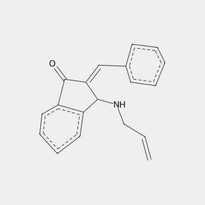 C=CCNC1C(=Cc2ccccc2)C(=O)c2ccccc21